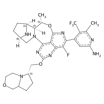 Cc1nc(N)cc(-c2nc3c4c(nc(OC[C@@H]5CCC6COCCN65)nc4c2F)N2C[C@H]4CC[C@H](N4)[C@H]2[C@H](C)O3)c1C(F)(F)F